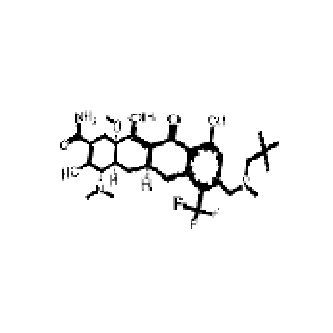 CO[C@@]12CC(C(N)=O)=C(O)[C@@H](N(C)C)[C@@H]1C[C@@H]1Cc3c(c(O)cc(CN(C)CC(C)(C)C)c3C(F)(F)F)C(=O)C1=C2O